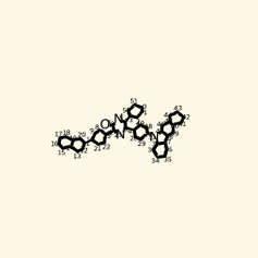 c1ccc(-c2nc3oc4cc(-c5ccc6ccccc6c5)ccc4c3nc2-c2ccc(-n3c4ccccc4c4cc5ccccc5cc43)cc2)cc1